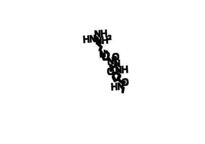 CCNC(=O)c1ccc2c(c1)Nc1nc(=O)n(C3CCN(CCCNC(=N)N)CC3)cc1O2